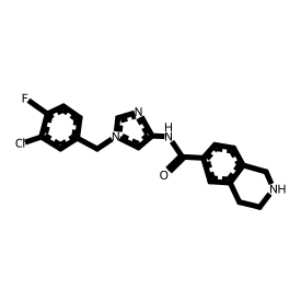 O=C(Nc1cn(Cc2ccc(F)c(Cl)c2)cn1)c1ccc2c(c1)CCNC2